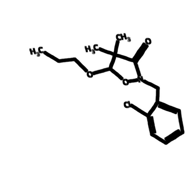 CCCOC1ON(Cc2ccccc2Cl)C(=O)C1(C)C